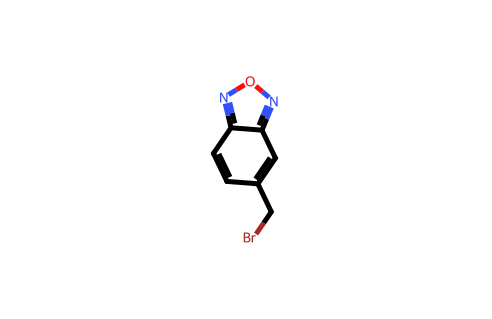 BrCc1ccc2nonc2c1